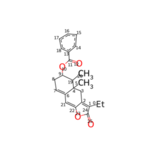 CCC1=C2CC3(C)C(=CCC(OC(=O)c4ccccc4)C3C)C=C2OC1=O